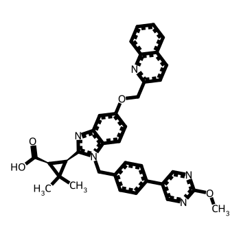 COc1ncc(-c2ccc(Cn3c([C@@H]4[C@H](C(=O)O)C4(C)C)nc4cc(OCc5ccc6ccccc6n5)ccc43)cc2)cn1